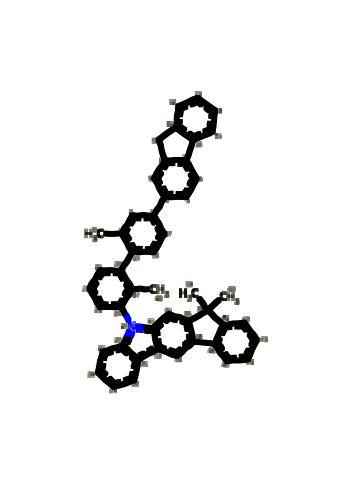 Cc1cc(-c2ccc3c(c2)Cc2ccccc2-3)ccc1-c1cccc(-n2c3ccccc3c3cc4c(cc32)C(C)(C)c2ccccc2-4)c1C